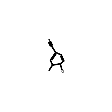 CC1C=C(C#N)C=CC1Cl